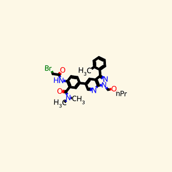 CCCOCn1nc(-c2ccccc2C)c2cc(-c3ccc(NC(=O)CBr)c(C(=O)N(C)C)c3)cnc21